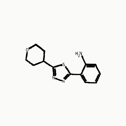 Nc1ccccc1-c1nnc(C2CCOCC2)s1